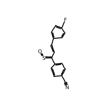 N#Cc1ccc(C(C=Cc2ccc(F)cc2)=S=O)cc1